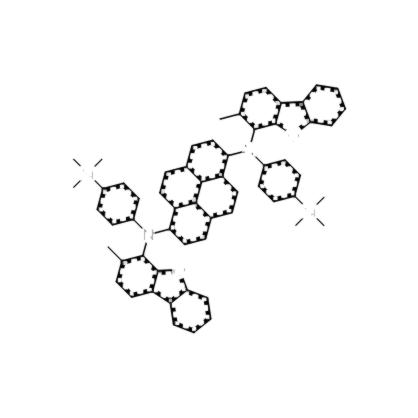 Cc1ccc2c(oc3ccccc32)c1N(c1ccc([Si](C)(C)C)cc1)c1ccc2ccc3c(N(c4ccc([Si](C)(C)C)cc4)c4c(C)ccc5c4oc4ccccc45)ccc4ccc1c2c43